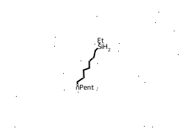 CCCCCCCCCCCC[SiH2]CC